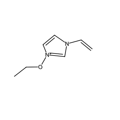 C=Cn1cc[n+](OCC)c1